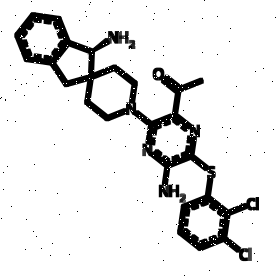 CC(=O)c1nc(Sc2cccc(Cl)c2Cl)c(N)nc1N1CCC2(CC1)Cc1ccccc1[C@H]2N